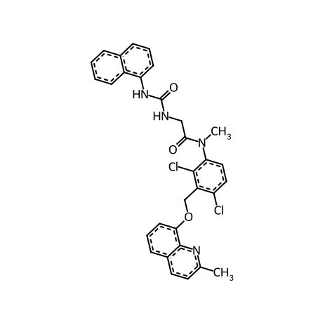 Cc1ccc2cccc(OCc3c(Cl)ccc(N(C)C(=O)CNC(=O)Nc4cccc5ccccc45)c3Cl)c2n1